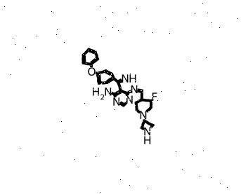 N=C(c1ccc(Oc2ccccc2)cc1)c1c(N)ncnc1/N=C\C1CCN(C2CNC2)C[C@@H]1F